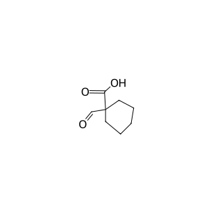 O=CC1(C(=O)O)CCCCC1